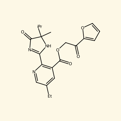 CCc1cnc(C2=NC(=O)C(C)(C(C)C)N2)c(C(=O)OCC(=O)c2ccco2)c1